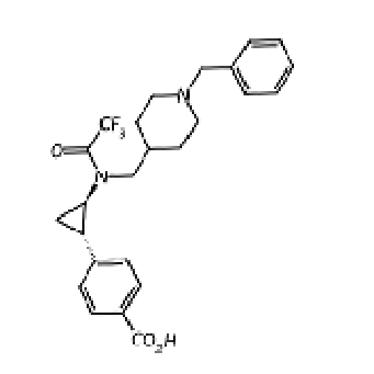 O=C(O)c1ccc([C@@H]2C[C@H]2N(CC2CCN(Cc3ccccc3)CC2)C(=O)C(F)(F)F)cc1